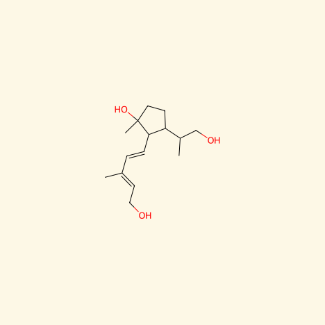 CC(C=CC1C(C(C)CO)CCC1(C)O)=CCO